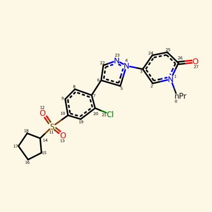 CCCn1cc(-n2cc(-c3ccc(S(=O)(=O)C4CCCC4)cc3Cl)cn2)ccc1=O